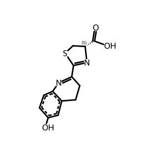 O=C(O)[C@H]1CSC(C2=Nc3ccc(O)cc3CC2)=N1